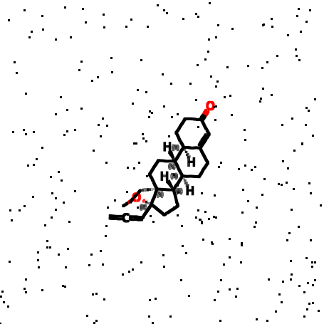 C=C=C[C@]1(OC)CC[C@H]2[C@@H]3CCC4=CC(=O)CC[C@@H]4[C@H]3CC[C@@]21CC